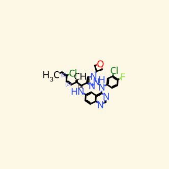 C=C(/C=C\C(Cl)=C/C)[C@H](Nc1ccc2ncnc(Nc3ccc(F)c(Cl)c3)c2c1)c1cn(C2COC2)nn1